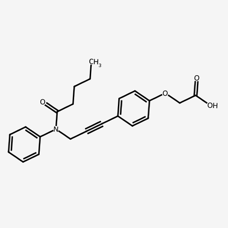 CCCCC(=O)N(CC#Cc1ccc(OCC(=O)O)cc1)c1ccccc1